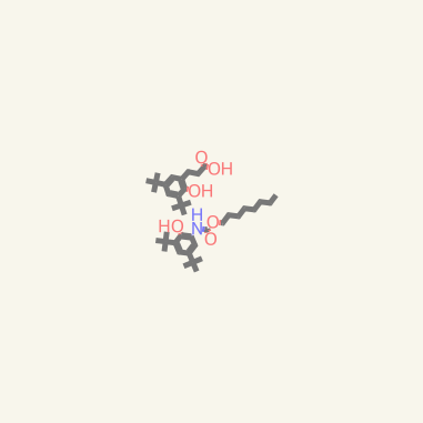 CC(C)(C)c1cc(CCC(=O)O)c(O)c(C(C)(C)C)c1.CCCCCCCCOC(=O)Nc1cc(C(C)(C)C)cc(C(C)(C)C)c1O